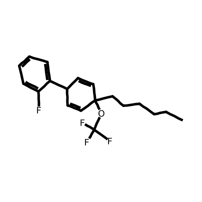 CCCCCCC1(OC(F)(F)F)C=CC(c2ccccc2F)C=C1